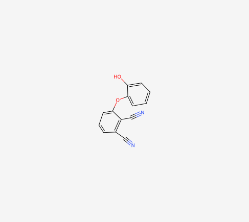 N#Cc1cccc(Oc2ccccc2O)c1C#N